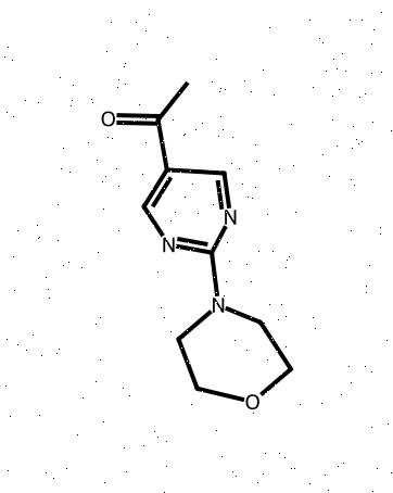 CC(=O)c1cnc(N2CCOCC2)nc1